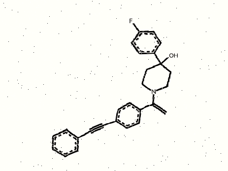 C=C(c1ccc(C#Cc2ccccc2)cc1)N1CCC(O)(c2ccc(F)cc2)CC1